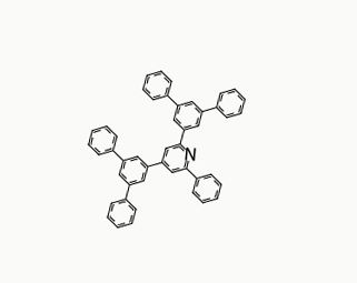 c1ccc(-c2cc(-c3ccccc3)cc(-c3cc(-c4ccccc4)nc(-c4cc(-c5ccccc5)cc(-c5ccccc5)c4)c3)c2)cc1